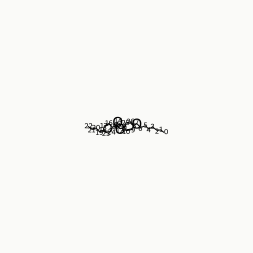 CCCCCCCOc1ccc(OC(=O)c2ccc(CCCC)cc2)cc1